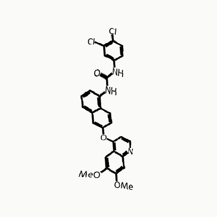 COc1cc2nccc(Oc3ccc4c(NC(=O)Nc5ccc(Cl)c(Cl)c5)cccc4c3)c2cc1OC